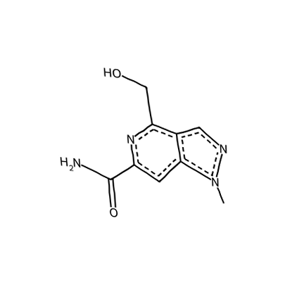 Cn1ncc2c(CO)nc(C(N)=O)cc21